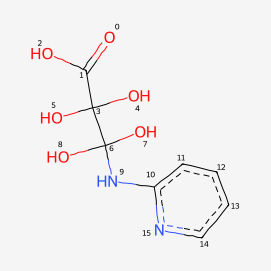 O=C(O)C(O)(O)C(O)(O)Nc1ccccn1